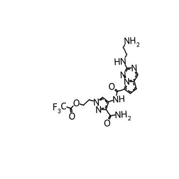 NCCNc1ncc2ccc(C(=O)Nc3cn(CCOC(=O)C(F)(F)F)nc3C(N)=O)n2n1